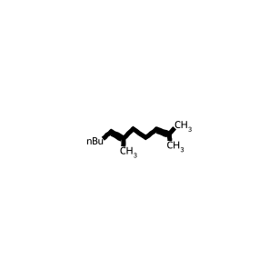 C[CH]CC/C=C(\C)CCC=C(C)C